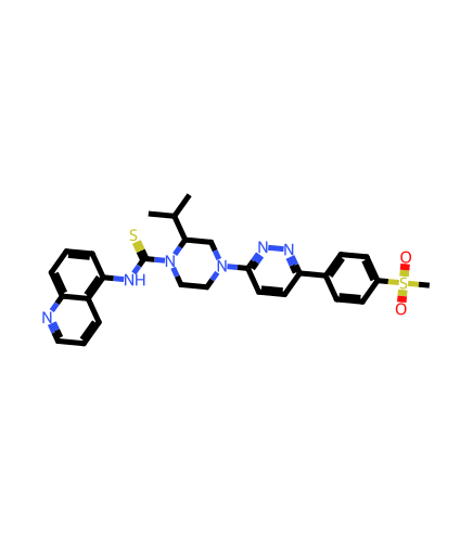 CC(C)C1CN(c2ccc(-c3ccc(S(C)(=O)=O)cc3)nn2)CCN1C(=S)Nc1cccc2ncccc12